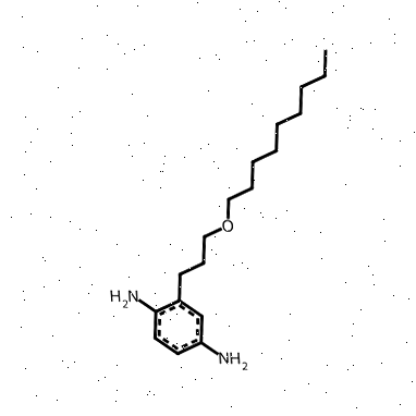 CCCCCCCCCOCCCc1cc(N)ccc1N